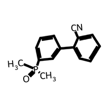 CP(C)(=O)c1cccc(-c2ccccc2C#N)c1